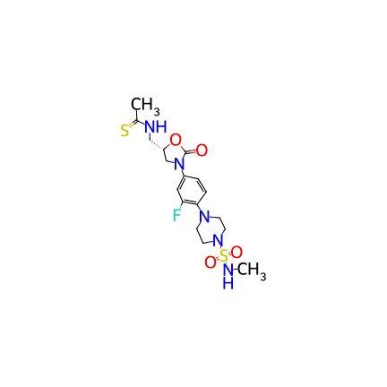 CNS(=O)(=O)N1CCN(c2ccc(N3C[C@H](CNC(C)=S)OC3=O)cc2F)CC1